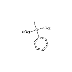 CCCCCCCC[Si](I)(CCCCCCCC)c1ccccc1